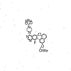 CCCCOC(=O)N1CCN(c2ncnc3c(F)c(-c4cc(OCOC)cc5ccccc45)c(Cl)cc23)CC1